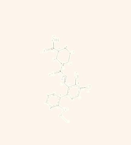 CCOc1ccccc1-c1c[c]c(Cl)c(Cl)c1/C=C/C(=O)N1CCCC(C(=O)O)C1